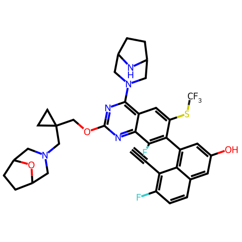 C#Cc1c(F)ccc2cc(O)cc(-c3c(SC(F)(F)F)cc4c(N5CC6CCC(C5)N6)nc(OCC5(CN6CC7CCC(C6)O7)CC5)nc4c3F)c12